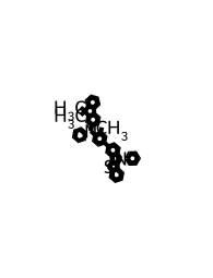 Cc1cc(-c2ccc3c(c2)c2sc4ccccc4c2n3-c2ccccc2)ccc1N(C1=CC=CCC1)c1ccc2c(c1)C(C)(C)c1ccccc1-2